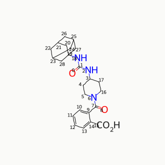 O=C(NC1CCN(C(=O)c2ccccc2C(=O)O)CC1)NC12CC3CC(CC(C3)C1)C2